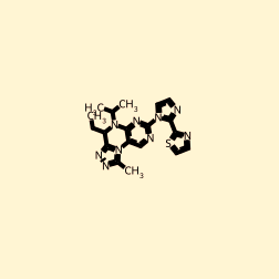 CCC1c2nnc(C)n2-c2cnc(-n3ccnc3-c3nccs3)nc2N1C(C)C